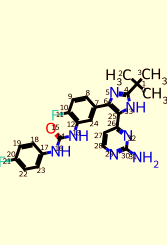 CC(C)(C)c1nc(-c2ccc(F)c(NC(=O)Nc3ccc(F)cc3)c2)c(-c2ccnc(N)n2)[nH]1